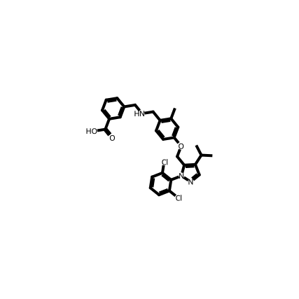 Cc1cc(OCc2c(C(C)C)cnn2-c2c(Cl)cccc2Cl)ccc1CNCc1cccc(C(=O)O)c1